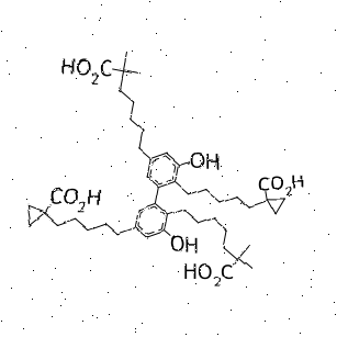 CC(C)(CCCCCc1cc(O)c(CCCCCC2(C(=O)O)CC2)c(-c2cc(CCCCCC3(C(=O)O)CC3)cc(O)c2CCCCCC(C)(C)C(=O)O)c1)C(=O)O